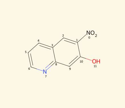 O=[N+]([O-])c1cc2cccnc2cc1O